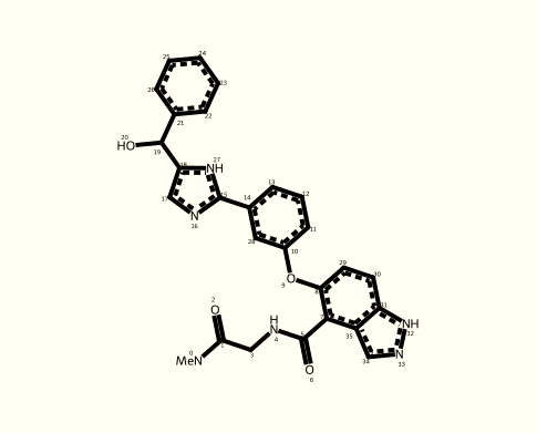 CNC(=O)CNC(=O)c1c(Oc2cccc(-c3ncc(C(O)c4ccccc4)[nH]3)c2)ccc2[nH]ncc12